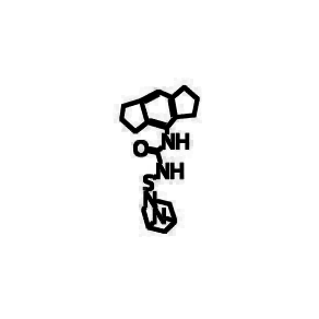 CN1C2CC1CN(SNC(=O)Nc1c3c(cc4c1CCC4)CCC3)C2